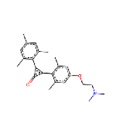 Cc1cc(C)c(-c2c(-c3c(C)cc(OCCN(C)C)cc3C)c2=O)c(C)c1